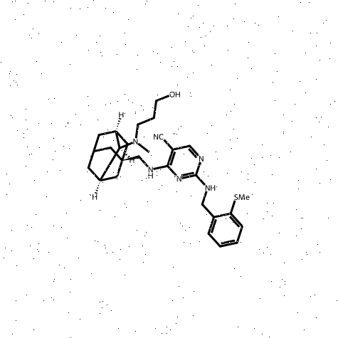 CSc1ccccc1CNc1ncc(C#N)c(NC[C@]23CC4C[C@H](C2)[C@H](N(C)CCCO)[C@@H](C4)C3)n1